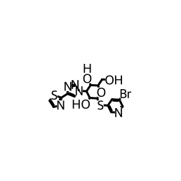 OCC1OC(Sc2cncc(Br)c2)C(O)C(n2cc(-c3nccs3)nn2)C1O